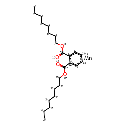 CCCCCCCCOC(=O)c1ccccc1C(=O)OCCCCCCCC.[Mn]